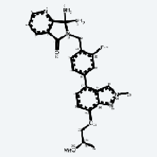 BC1(B)c2ncccc2C(=O)N1Cc1ccc(-c2ccc(OC[C@@H](C)OC)c3nn(C)cc23)cc1F